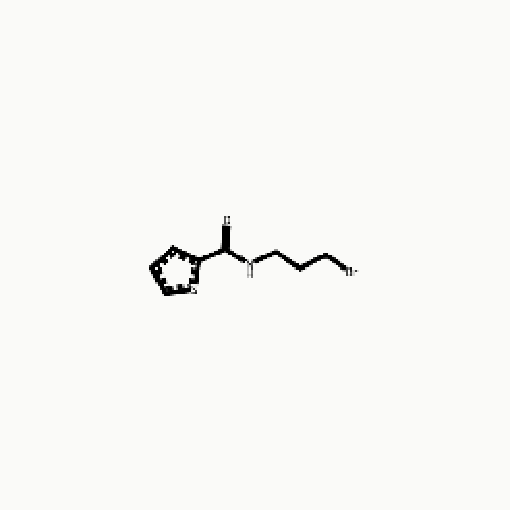 O=C(NCCCBr)c1cccs1